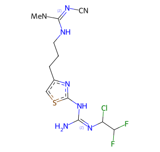 CN/C(=N/C#N)NCCCc1csc(N/C(N)=N\C(Cl)C(F)F)n1